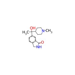 CN1CCC(C(C)(O)c2ccc3c(c2)C(=O)NC3)CC1